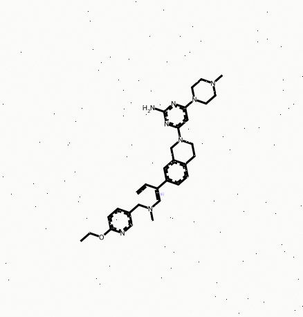 C=C/C(=C\N(C)Cc1ccc(OCC)nc1)c1ccc2c(c1)CN(c1cc(N3CCN(C)CC3)nc(N)n1)CC2